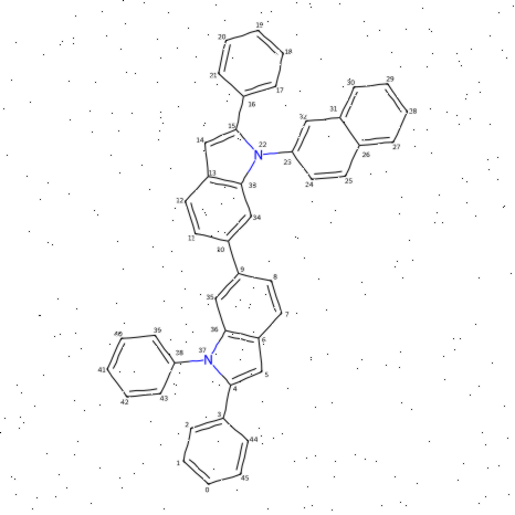 c1ccc(-c2cc3ccc(-c4ccc5cc(-c6ccccc6)n(-c6ccc7ccccc7c6)c5c4)cc3n2-c2ccccc2)cc1